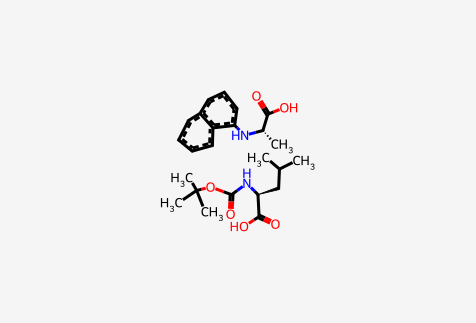 CC(C)C[C@H](NC(=O)OC(C)(C)C)C(=O)O.C[C@H](Nc1cccc2ccccc12)C(=O)O